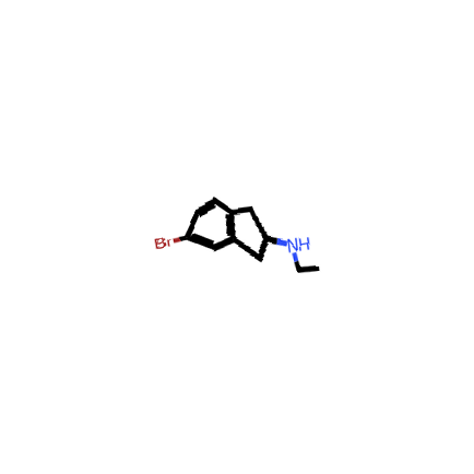 CCNC1Cc2ccc(Br)cc2C1